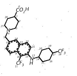 O=C(O)C1CCN(Cc2ccc3c(C(F)(F)F)c(NC4CCC(C(F)(F)F)CC4)ccc3c2)CC1